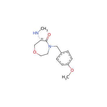 CN[C@H]1COCCN(Cc2ccc(OC)cc2)C1=O